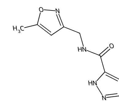 Cc1cc(CNC(=O)c2ccn[nH]2)no1